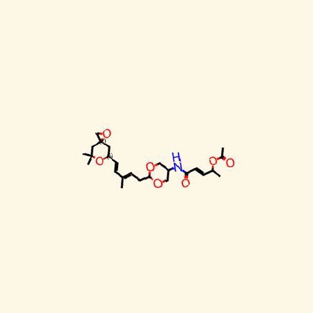 CC(=O)OC(C)C=CC(=O)NC1COC(CC=C(C)C=C[C@@H]2C[C@]3(CO3)CC(C)(C)O2)OC1